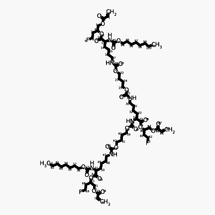 C=CC(=O)OCC(CCF)OC(=O)C(CCCCNC(=O)OCCCCOC(=O)NCCCCC(NC(=O)OCCCCOC(=O)NCCCCC(NC(=O)OCCCCCCCC)C(=O)OC(CCF)COC(=O)C=C)C(=O)OC(CCF)COC(=O)C=C)NC(=O)OCCCCCCCC